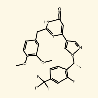 COc1ccc(Cc2nc(-c3cnn([C@H](C)c4ccc(C(F)(F)F)cc4F)c3)cc(=O)[nH]2)cc1OC